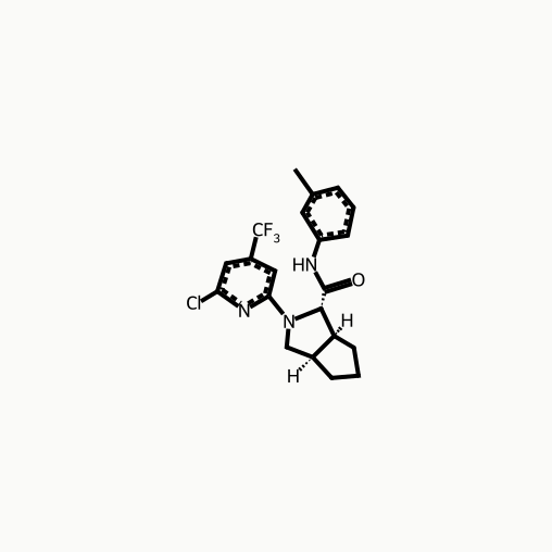 Cc1cccc(NC(=O)[C@@H]2[C@H]3CCC[C@H]3CN2c2cc(C(F)(F)F)cc(Cl)n2)c1